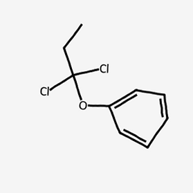 CCC(Cl)(Cl)Oc1ccccc1